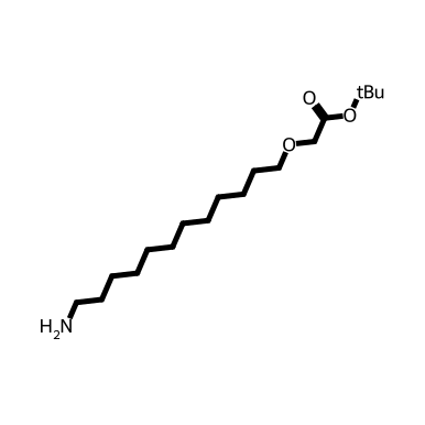 CC(C)(C)OC(=O)COCCCCCCCCCCCCN